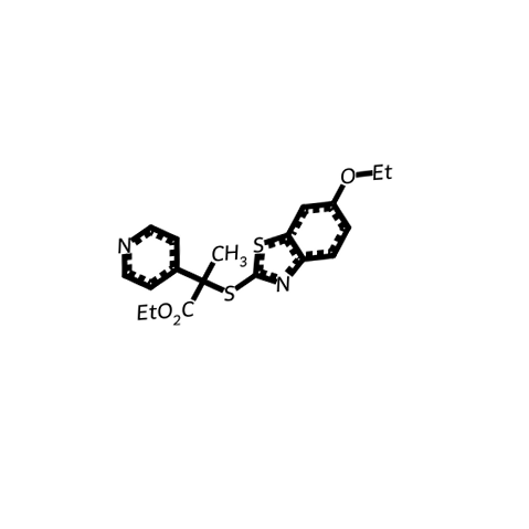 CCOC(=O)C(C)(Sc1nc2ccc(OCC)cc2s1)c1ccncc1